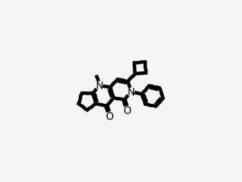 Cn1c2c(c(=O)c3c(=O)n(-c4ccccc4)c(C4CCC4)cc31)CCC2